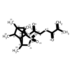 C=C(C)C(=O)SCC(=O)OC1(C)C2(C)CC3C(C2C)C1(C)OS3(=O)=O